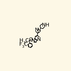 CC(On1ccc2ncc(-c3cnn(C4CCNCC4)c3)cc21)c1ccccc1C(F)(F)F